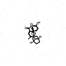 COc1ccc(O[C@H]2C[C@H]3CC[C@@H](C2)N3c2nc3c(cc2C)C(=O)NC3)cn1